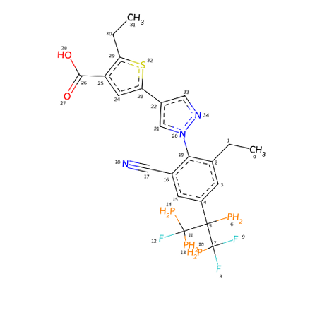 CCc1cc(C(P)(C(F)(F)P)C(F)(P)P)cc(C#N)c1-n1cc(-c2cc(C(=O)O)c(CC)s2)cn1